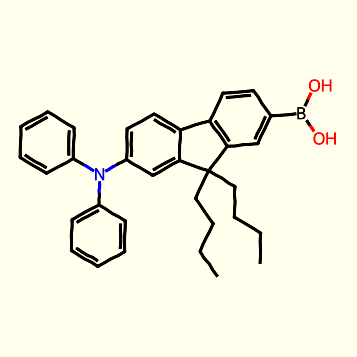 CCCCC1(CCCC)c2cc(B(O)O)ccc2-c2ccc(N(c3ccccc3)c3ccccc3)cc21